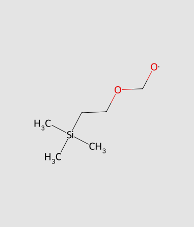 C[Si](C)(C)CCOC[O]